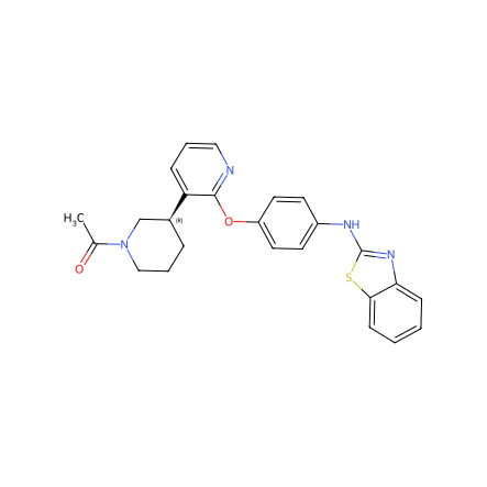 CC(=O)N1CCC[C@H](c2cccnc2Oc2ccc(Nc3nc4ccccc4s3)cc2)C1